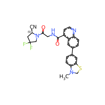 CN1CSc2cc(-c3ccc4nccc(C(=O)NCC(=O)N5CC(F)(F)C[C@H]5C#N)c4c3)ccc21